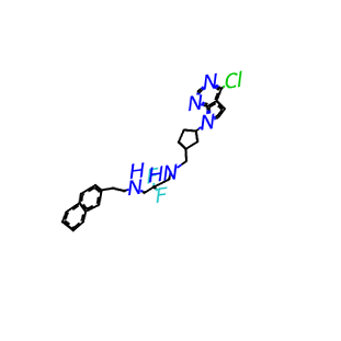 FC(F)(CNCCc1ccc2ccccc2c1)CNCC1CCC(n2ccc3c(Cl)ncnc32)C1